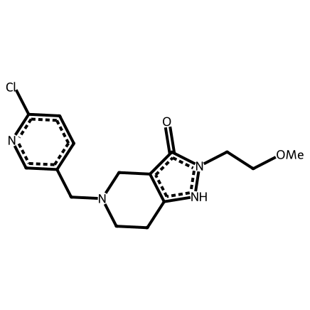 COCCn1[nH]c2c(c1=O)CN(Cc1ccc(Cl)nc1)CC2